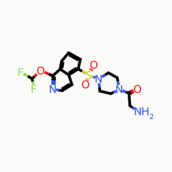 NCC(=O)N1CCN(S(=O)(=O)c2cccc3c(OC(F)F)nccc23)CC1